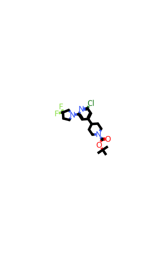 CC(C)(C)OC(=O)N1CCC(c2cc(Cl)nc(N3CCC(F)(F)C3)c2)CC1